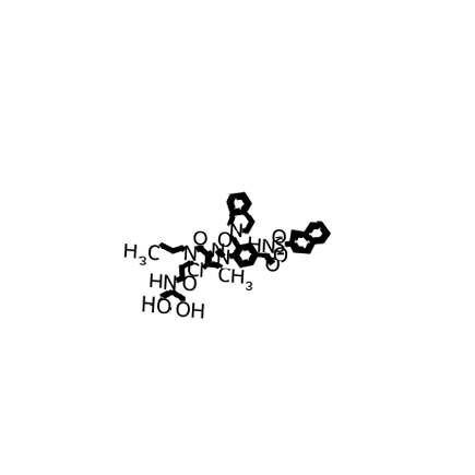 CCCCN(CCC(=O)NC(CO)CO)C(=O)c1nn(-c2ccc(C(=O)NS(=O)(=O)c3ccc4ccccc4c3)cc2C(=O)N2CCc3ccccc3C2)c(C)c1Cl